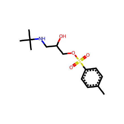 Cc1ccc(S(=O)(=O)OCC(O)CNC(C)(C)C)cc1